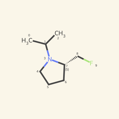 CC(C)N1CCC[C@H]1CF